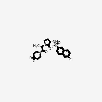 C[C@@H](C(=O)N1CCC(F)(F)CC1)N1CC[C@H](NS(=O)(=O)c2ccc3cc(Cl)ccc3c2)C1=O